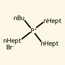 CCCCCCC[P+](CCCC)(CCCCCCC)CCCCCCC.[Br-]